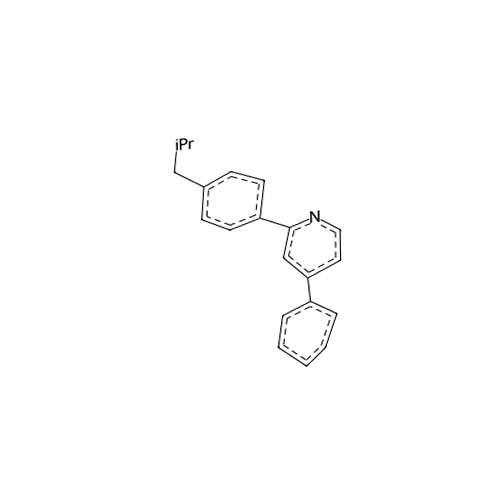 CC(C)Cc1ccc(-c2cc(-c3ccccc3)ccn2)cc1